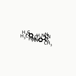 Cc1ccc(NC(=O)Nc2ccc(-c3c(C)sc4ncnc(N)c34)cc2)cc1C